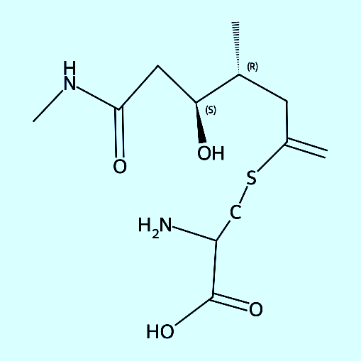 C=C(C[C@@H](C)[C@@H](O)CC(=O)NC)SCC(N)C(=O)O